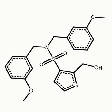 COc1cccc(CN(Cc2cccc(OC)c2)S(=O)(=O)c2ccsc2CO)c1